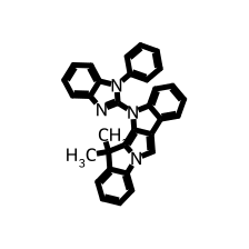 CC1(C)c2ccccc2-n2cc3c4ccccc4n(-c4nc5ccccc5n4-c4ccccc4)c3c21